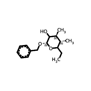 CCC1O[C@H](OCc2ccccc2)C(O)[C@@H](C)[C@@H]1C